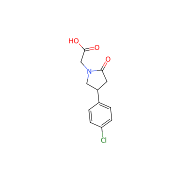 O=C(O)CN1CC(c2ccc(Cl)cc2)CC1=O